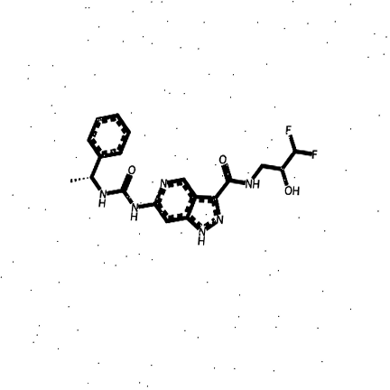 C[C@@H](NC(=O)Nc1cc2[nH]nc(C(=O)NCC(O)C(F)F)c2cn1)c1ccccc1